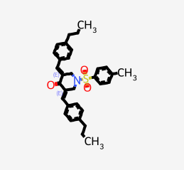 CCCc1ccc(/C=C2\CN(S(=O)(=O)c3ccc(C)cc3)C/C(=C\c3ccc(CCC)cc3)C2=O)cc1